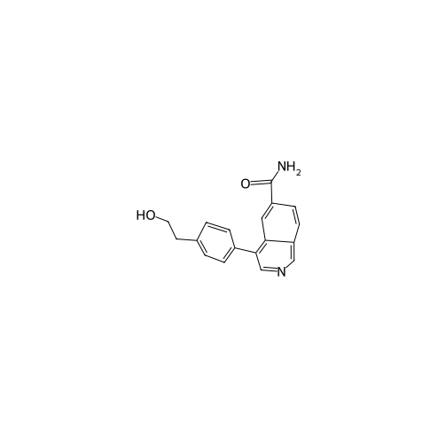 NC(=O)c1ccc2cncc(-c3ccc(CCO)cc3)c2c1